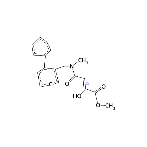 COC(=O)/C(O)=C/C(=O)N(C)Cc1ccccc1-c1ccccc1